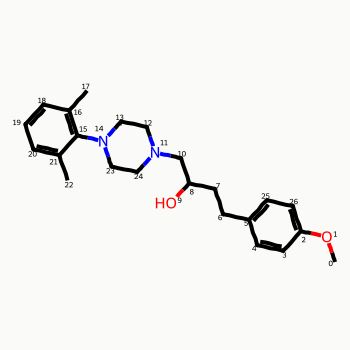 COc1ccc(CCC(O)CN2C[CH]N(c3c(C)cccc3C)CC2)cc1